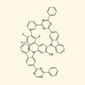 N#Cc1cc(-n2c3ccccc3c3ccc(-c4ncnc(-c5ccccc5)n4)cc32)c(-c2c(F)c(F)c(F)c(F)c2F)cc1-n1c2ccccc2c2ccc(-c3nc(-c4ccccc4)nc(-c4ccccc4)n3)cc21